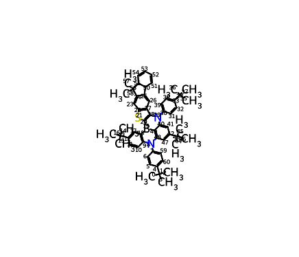 CC(C)(C)c1ccc(N2c3ccc(C(C)(C)C)cc3B3c4sc5cc6c(cc5c4N(c4ccc(C(C)(C)C)cc4)c4cc(C(C)(C)C)cc2c43)C2C=CC=CC2C6(C)C)cc1